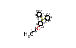 CCCCOc1ccc([S+](c2ccccc2)c2ccccc2)cc1